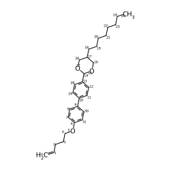 C=CCCCOc1ccc(-c2ccc(C3OCC(CCCCCCCC)CO3)cc2)cc1